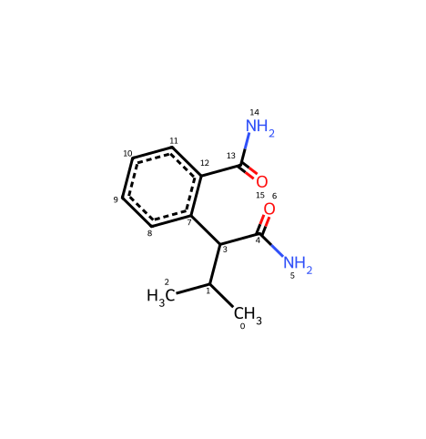 CC(C)C(C(N)=O)c1ccccc1C(N)=O